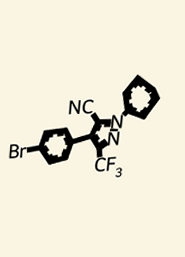 N#Cc1c(-c2ccc(Br)cc2)c(C(F)(F)F)nn1-c1ccccc1